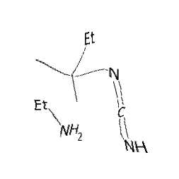 CCC(C)(C)N=C=N.CCN